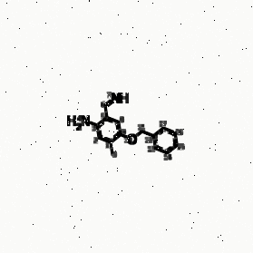 Cc1cc(N)c(C=N)cc1OCc1ccccc1